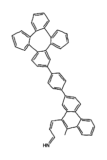 Cc1c(/C=C\C=N)c2cc(-c3ccc(-c4ccc5c(c4)-c4ccccc4-c4ccccc4-c4ccccc4-5)cc3)ccc2c2ccccc12